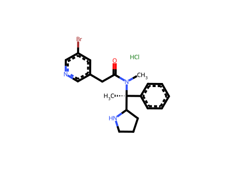 CN(C(=O)Cc1cncc(Br)c1)[C@@](C)(c1ccccc1)C1CCCN1.Cl